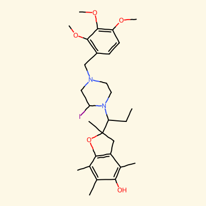 CCC(N1CCN(Cc2ccc(OC)c(OC)c2OC)CC1I)C1(C)Cc2c(C)c(O)c(C)c(C)c2O1